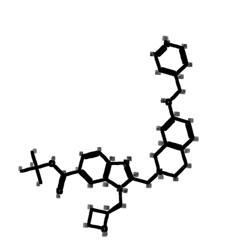 CC(C)(C)OC(=O)c1ccc2nc(CN3CCc4ccc(OCc5ccncc5)cc4C3)n(C[C@@H]3CCO3)c2c1